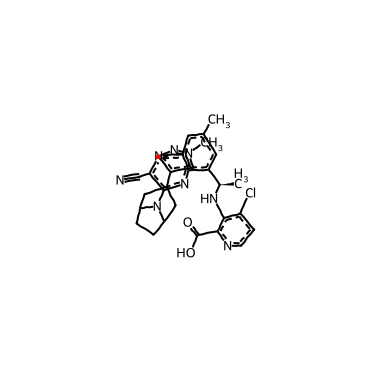 Cc1cc([C@@H](C)Nc2c(Cl)ccnc2C(=O)O)c2nc(N3C4CCC3CC(c3cnn(C)c3)C4)c(C#N)nc2c1